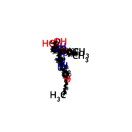 CCCCCCCOc1ccc(-c2cnc(-c3ccc(C[C@H](NC(=O)c4ccc(C(C)C)cc4)C(=O)N4CCC[C@H]4NC(O)O)cc3)nc2)cc1